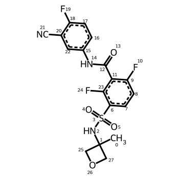 CC1(NS(=O)(=O)c2ccc(F)c(C(=O)Nc3ccc(F)c(C#N)c3)c2F)COC1